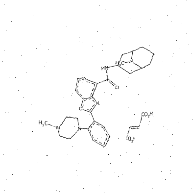 CN1CCN(c2ccccc2-c2nc3c(C(=O)NC4CC5CCCC(C4)N5C)cccc3o2)CC1.O=C(O)C=CC(=O)O